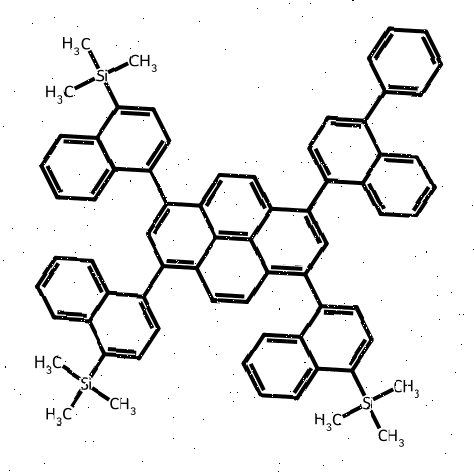 C[Si](C)(C)c1ccc(-c2cc(-c3ccc(-c4ccccc4)c4ccccc34)c3ccc4c(-c5ccc([Si](C)(C)C)c6ccccc56)cc(-c5ccc([Si](C)(C)C)c6ccccc56)c5ccc2c3c45)c2ccccc12